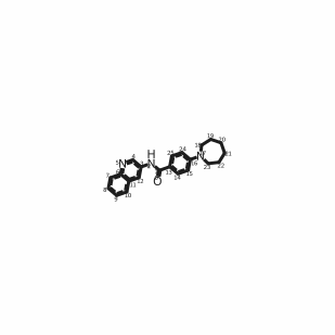 O=C(Nc1cnc2ccccc2c1)c1ccc(N2CCCCCC2)cc1